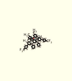 Cc1cc(C)c(B2c3ccc(-c4ccc(C(F)(F)F)cc4)cc3N(c3ccccc3)c3cc4c(cc32)B(c2c(C)cc(C)cc2C)c2ccc(-c3ccc(C(F)(F)F)cc3)cc2N4c2ccccc2)c(C)c1